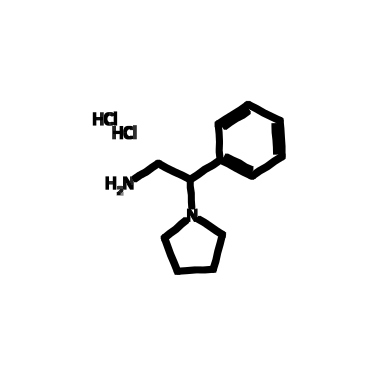 Cl.Cl.NCC(c1ccccc1)N1CCCC1